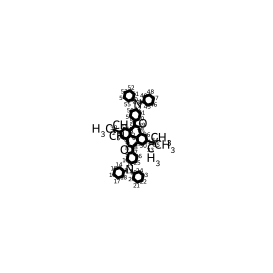 CC(C)(C)c1cc2c3oc4cc(N(c5ccccc5)c5ccccc5)ccc4c3c3cc(C(C)(C)C)cc4c5oc6cc(N(c7ccccc7)c7ccccc7)ccc6c5c(c1)c2c43